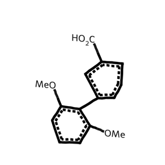 COc1cccc(OC)c1-c1cccc(C(=O)O)c1